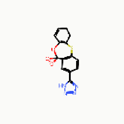 C1=CC2=C(CC1)Sc1ccc(-c3nnn[nH]3)cc1C1(OO1)O2